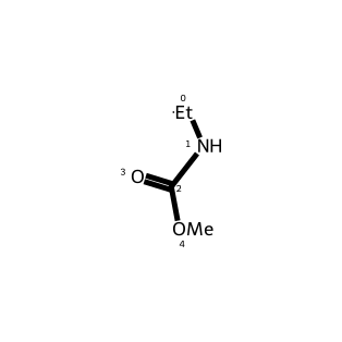 C[CH]NC(=O)OC